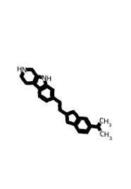 CC(C)c1ccc2c(c1)CC(CCc1ccc3c4c([nH]c3c1)CNCC4)C2